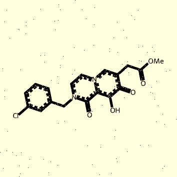 COC(=O)Cc1cn2ccn(Cc3cccc(Cl)c3)c(=O)c2c(O)c1=O